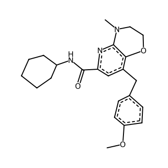 COc1ccc(Cc2cc(C(=O)NC3CCCCC3)nc3c2OCCN3C)cc1